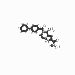 CC1c2cc(C(=O)NO)nn2CCN1C(=O)c1ccc(-c2ccccc2)cc1